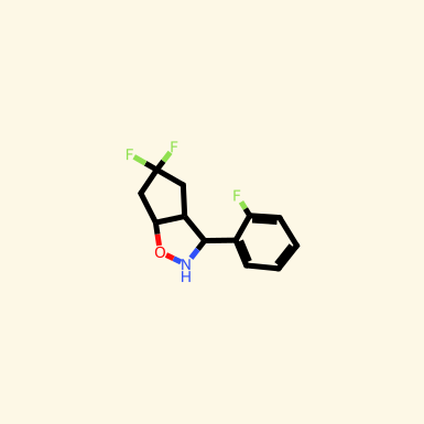 Fc1ccccc1C1NOC2CC(F)(F)CC21